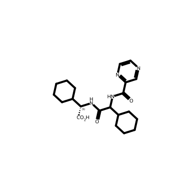 O=C(NC(C(=O)N[C@H](C(=O)O)C1CCCCC1)C1CCCCC1)c1cnccn1